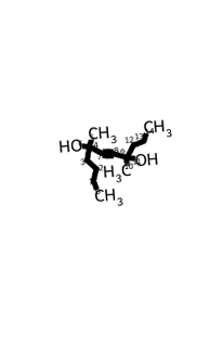 CCCCC(C)(O)C#CC(C)(O)CCC